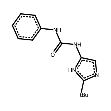 CC(C)(C)c1ncc(NC(=O)Nc2ccccc2)[nH]1